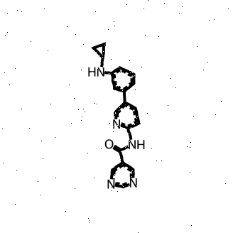 O=C(Nc1ccc(-c2cccc(NC3CC3)c2)cn1)c1cncnc1